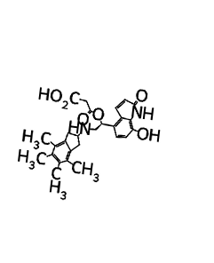 Cc1c(C)c(C)c2c(c1C)CC(NC[C@@H](OC(=O)CC(=O)O)c1ccc(O)c3[nH]c(=O)ccc13)C2